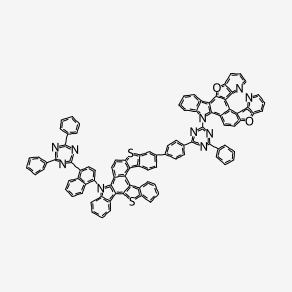 c1ccc(-c2nc(-c3ccccc3)nc(-c3ccc(-n4c5ccccc5c5c6sc7ccccc7c6c6c(ccc7sc8cc(-c9ccc(-c%10nc(-c%11ccccc%11)nc(-n%11c%12ccccc%12c%12c%13oc%14cccnc%14c%13c%13c(ccc%14oc%15cccnc%15c%14%13)c%12%11)n%10)cc9)ccc8c76)c54)c4ccccc34)n2)cc1